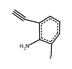 C#Cc1cccc(F)c1N